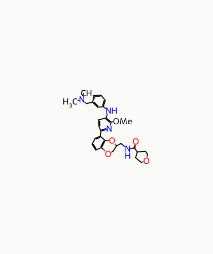 COc1nc(-c2cccc3c2OC(CNC(=O)C2CCOCC2)CO3)ccc1Nc1cccc(CN(C)C)c1